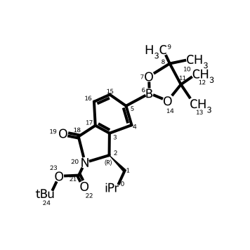 CC(C)C[C@@H]1c2cc(B3OC(C)(C)C(C)(C)O3)ccc2C(=O)N1C(=O)OC(C)(C)C